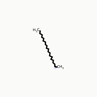 C/[C]=C\CCCCCCCCCCCCCCCCCCCC